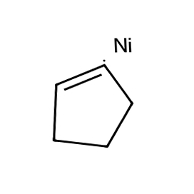 [C]1=CCCC1.[Ni]